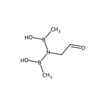 CB(O)N(CC=O)B(C)O